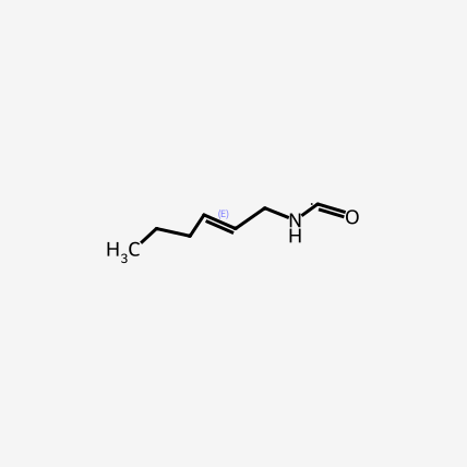 CCC/C=C/CN[C]=O